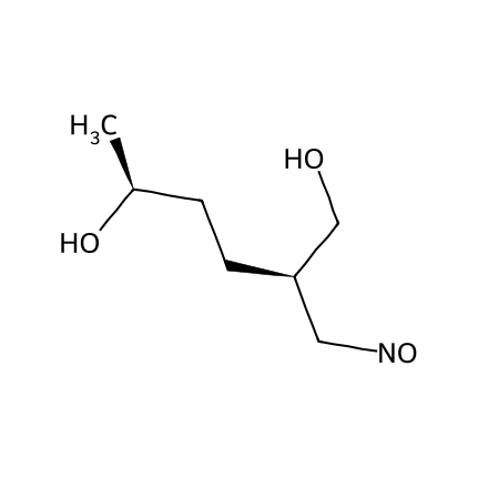 C[C@H](O)CC[C@@H](CO)CN=O